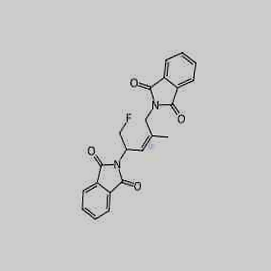 C/C(=C/C(CF)N1C(=O)c2ccccc2C1=O)CN1C(=O)c2ccccc2C1=O